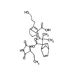 CC(C)(C)C1(C(=O)O)CC2C=CC1C2.CCC1=CC(=O)NC1=O.O=C(O)C1C2C=CC(CC2)C1CCCO